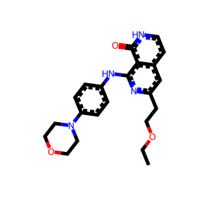 CCOCCc1cc2cc[nH]c(=O)c2c(Nc2ccc(N3CCOCC3)cc2)n1